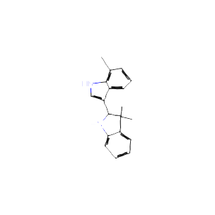 Cc1cccc2c(C3Nc4ccccc4C3(C)C)c[nH]c12